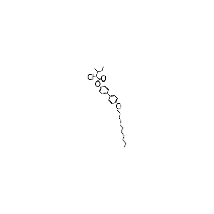 CCCCCCCCCCCOc1ccc(-c2ccc(OC(=O)C(Cl)C(C)CC)cc2)cc1